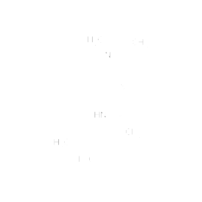 C=N/C(C)=C\SCC(=C)NC(CC)CC